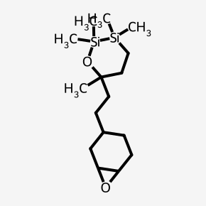 CC1(CCC2CCC3OC3C2)CC[Si](C)(C)[Si](C)(C)O1